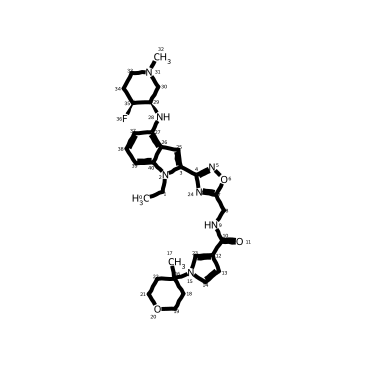 CCn1c(-c2noc(CNC(=O)c3ccn(C4(C)CCOCC4)c3)n2)cc2c(N[C@@H]3CN(C)CC[C@@H]3F)cccc21